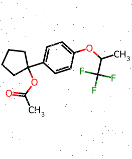 CC(=O)OC1(c2ccc(OC(C)C(F)(F)F)cc2)CCCC1